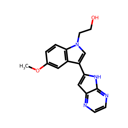 COc1ccc2c(c1)c(-c1cc3nccnc3[nH]1)cn2CCO